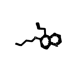 C=CCc1c(OCCCC)ccc2ncccc12